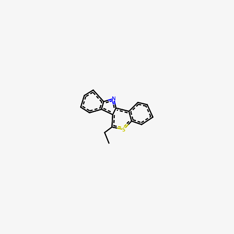 CCc1sc2ccccc2c2nc3ccccc3c1-2